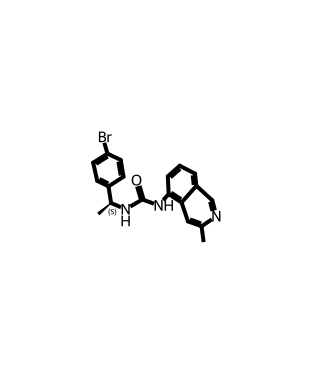 Cc1cc2c(NC(=O)N[C@@H](C)c3ccc(Br)cc3)cccc2cn1